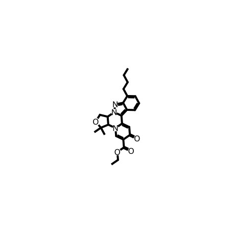 CCCCc1cccc2c3n(nc12)C1COC(C)(C)C1n1cc(C(=O)OCC)c(=O)cc1-3